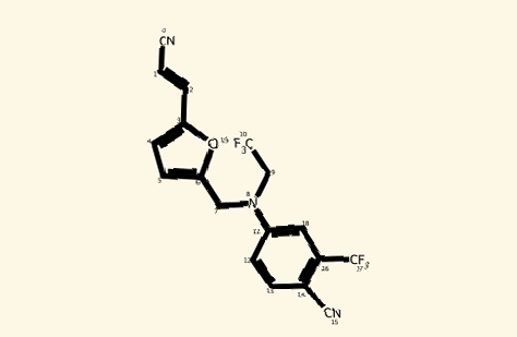 N#C/C=C/c1ccc(CN(CC(F)(F)F)c2ccc(C#N)c(C(F)(F)F)c2)o1